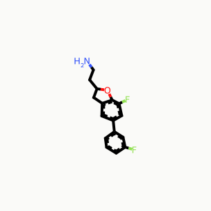 NCCC1Cc2cc(-c3cccc(F)c3)cc(F)c2O1